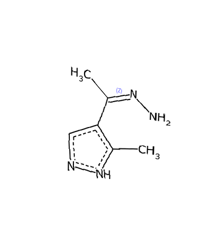 C/C(=N/N)c1cn[nH]c1C